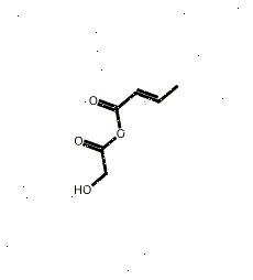 C/C=C/C(=O)OC(=O)CO